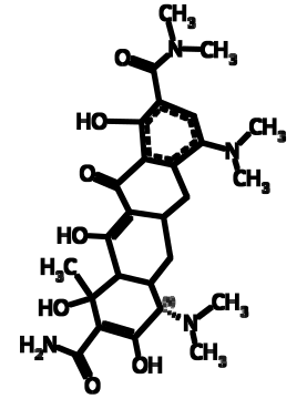 CN(C)C(=O)c1cc(N(C)C)c2c(c1O)C(=O)C1=C(O)C3C(CC1C2)[C@H](N(C)C)C(O)=C(C(N)=O)C3(C)O